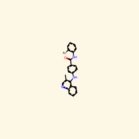 CC(=O)c1ccccc1NC(=O)c1ccc(Nc2c(C)cnc3ccccc23)cc1